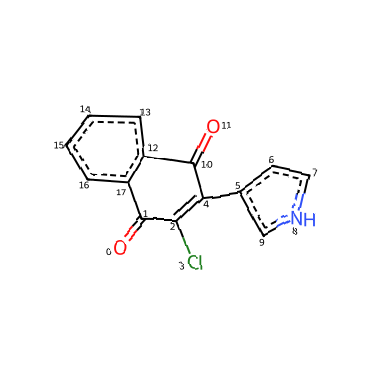 O=C1C(Cl)=C(c2cc[nH]c2)C(=O)c2ccccc21